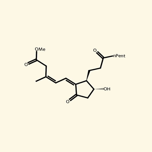 CCCCCC(=O)CC[C@@H]1C(=CC=C(C)CC(=O)OC)C(=O)C[C@H]1O